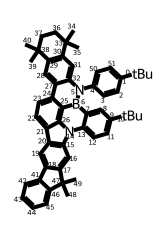 CC(C)(C)c1ccc(N2B3c4cc(C(C)(C)C)ccc4-n4c5cc6c(cc5c5ccc(c3c54)-c3cc4c(cc32)C(C)(C)CCC4(C)C)-c2ccccc2C6(C)C)cc1